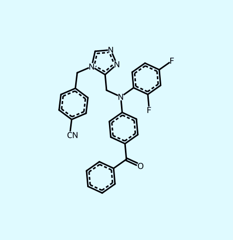 N#Cc1ccc(Cn2cnnc2CN(c2ccc(C(=O)c3ccccc3)cc2)c2ccc(F)cc2F)cc1